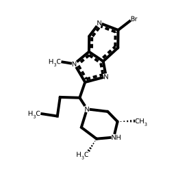 CCCC(c1nc2cc(Br)ncc2n1C)N1C[C@@H](C)N[C@@H](C)C1